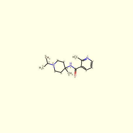 Cc1ncccc1C(=O)NC1(C)CCN(C(C)C)CC1